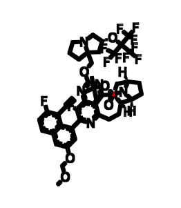 C#Cc1c(F)ccc2cc(OCOC)cc(-c3nc4c5c(nc(OCC67CCCN6C[C@H](OC(C(F)(F)F)(C(F)(F)F)C(F)(F)F)C7)nc5c3F)N3C[C@H]5CC[C@@H]([C@H]3CC4)N5C(=O)OC(C)(C)C)c12